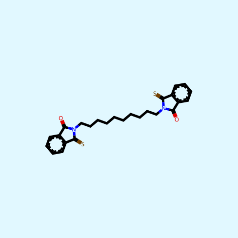 O=C1c2ccccc2C(=S)N1CCCCCCCCCCN1C(=O)c2ccccc2C1=S